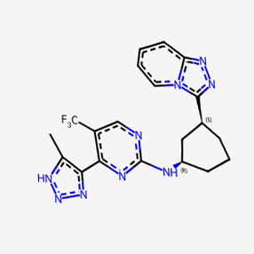 Cc1[nH]nnc1-c1nc(N[C@@H]2CCC[C@H](c3nnc4ccccn34)C2)ncc1C(F)(F)F